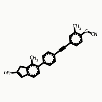 CCCC1=Cc2ccc(-c3ccc(C#Cc4ccc(SC#N)c(C)c4)cc3)c(C)c2C1